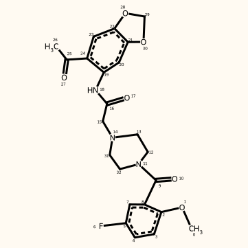 COc1ccc(F)cc1C(=O)N1CCN(CC(=O)Nc2cc3c(cc2C(C)=O)OCO3)CC1